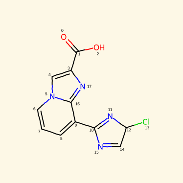 O=C(O)c1cn2cccc(C3=NC(Cl)C=N3)c2n1